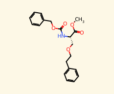 COC(=O)[C@H](COCCc1ccccc1)NC(=O)OCc1ccccc1